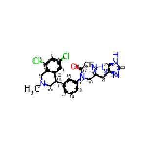 CN1Cc2c(Cl)cc(Cl)cc2C(c2cccc(N(C[C@@H](N)Cc3c[nH]cn3)C(=O)C(F)(F)F)c2)C1